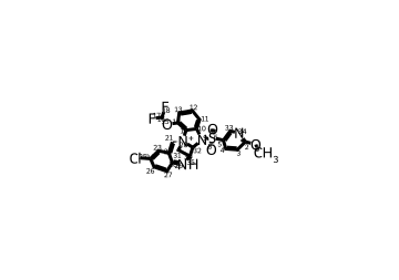 COc1ccc(S(=O)(=O)N2c3cccc(OC(F)F)c3[N@+]34C=c5cc(Cl)ccc5=N[C@H](C3)C24)cn1